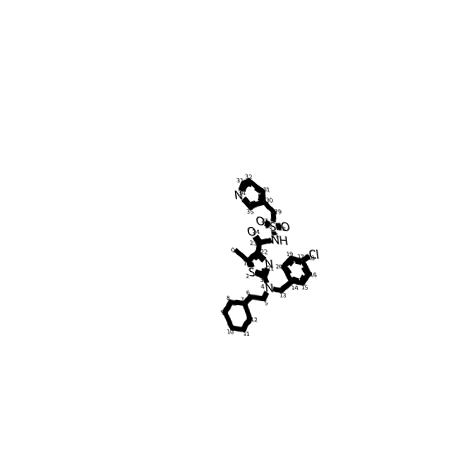 Cc1sc(N(CCC2CCCCC2)Cc2ccc(Cl)cc2)nc1C(=O)NS(=O)(=O)Cc1cccnc1